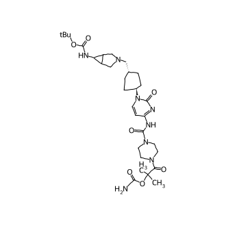 CC(C)(C)OC(=O)NC1C2CN(C[C@H]3CC[C@H](n4ccc(NC(=O)N5CCN(C(=O)C(C)(C)OC(N)=O)CC5)nc4=O)CC3)CC21